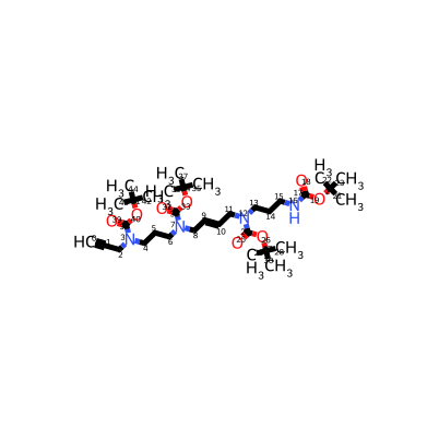 C#CCN(CCCN(CC=CCN(CCCNC(=O)OC(C)(C)C)C(=O)OC(C)(C)C)C(=O)OC(C)(C)C)C(=O)OC(C)(C)C